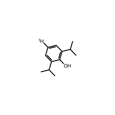 [3H]c1cc(C(C)C)c(O)c(C(C)C)c1